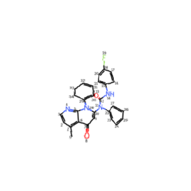 Cc1ccnc2c1c(=O)cc(N(C(=O)Nc1ccc(F)cc1)c1ccccc1)n2C1=CC=CCC1